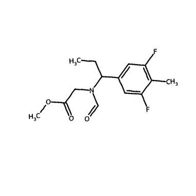 CCC(c1cc(F)c(C)c(F)c1)N(C=O)CC(=O)OC